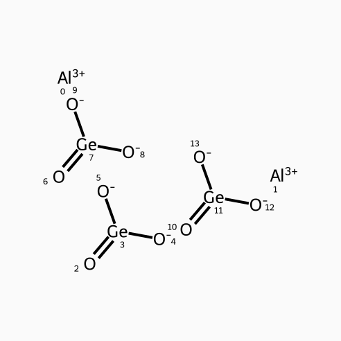 [Al+3].[Al+3].[O]=[Ge]([O-])[O-].[O]=[Ge]([O-])[O-].[O]=[Ge]([O-])[O-]